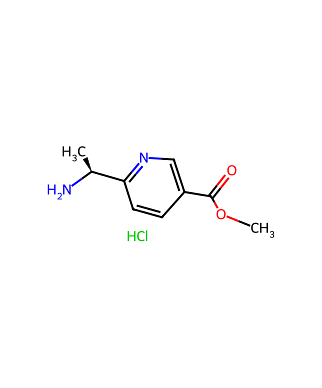 COC(=O)c1ccc([C@H](C)N)nc1.Cl